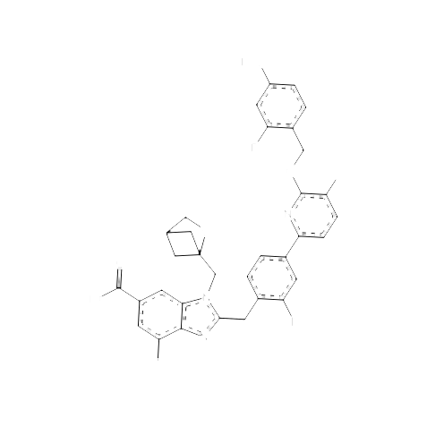 Cc1ccc(COc2nc(-c3ccc(Cc4nc5c(F)cc(C(=O)O)cc5n4CC45CC(CO4)C5)c(F)c3)ccc2F)c(F)c1